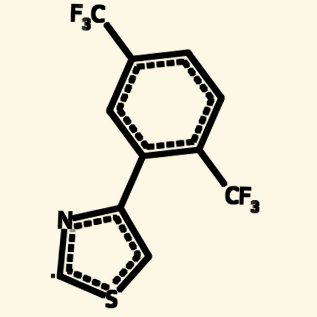 FC(F)(F)c1ccc(C(F)(F)F)c(-c2cs[c]n2)c1